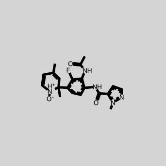 CC(=O)Nc1c(NC(=O)c2ccnn2C)ccc(C2(C)C=C(C)C=C[NH+]2[O-])c1F